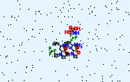 CCCC(N)CC(N(CC)CC)[SH](=O)=O.CCCC(N)CC(N(CC)CC)[SH](=O)=O.FC(F)F.FC(F)F.N=S(=O)(O)O